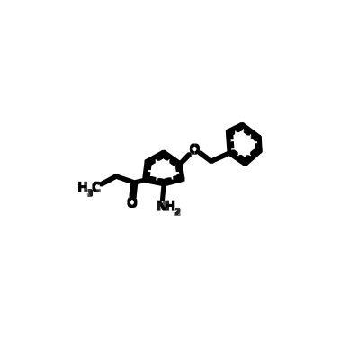 CCC(=O)c1ccc(OCc2ccccc2)cc1N